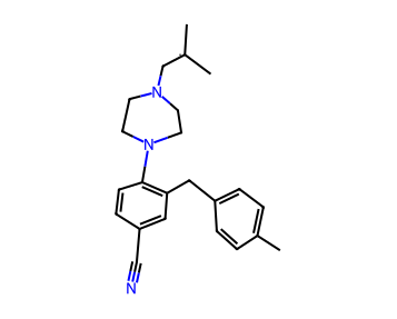 C[C](C)CN1CCN(c2ccc(C#N)cc2Cc2ccc(C)cc2)CC1